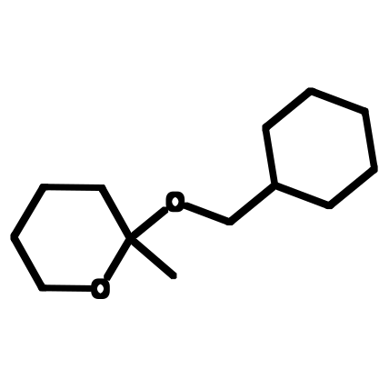 CC1(OCC2CCCCC2)CCCCO1